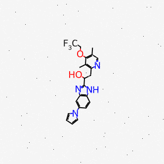 Cc1cnc(CC(O)c2nc3cc(-n4cccc4)ccc3[nH]2)c(C)c1OCC(F)(F)F